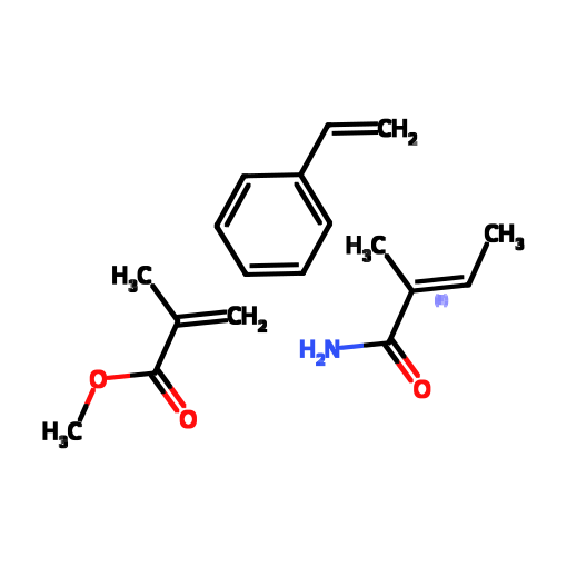 C/C=C(\C)C(N)=O.C=C(C)C(=O)OC.C=Cc1ccccc1